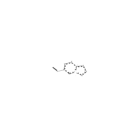 C=Cc1ccc2cccn2c1